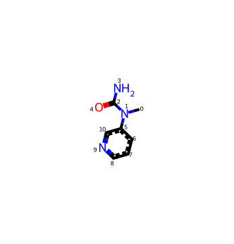 CN(C(N)=O)c1cc[c]nc1